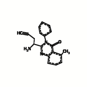 C#CCC(N)c1nc2cccc(C)c2c(=O)n1-c1ccccc1